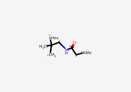 CCCCCCC(C)(C)CNC(=O)CNC